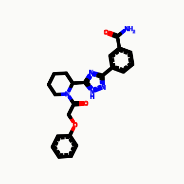 NC(=O)c1cccc(-c2n[nH]c(C3CCCCN3C(=O)COc3ccccc3)n2)c1